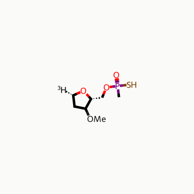 [3H][C@H]1CC(OC)[C@@H](COP(C)(=O)S)O1